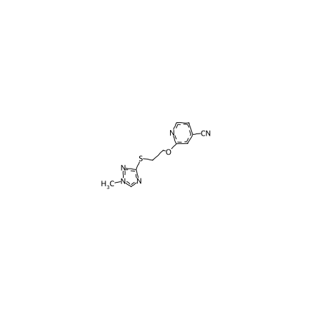 Cn1cnc(SCCOc2cc(C#N)ccn2)n1